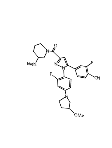 CNC1CCCN(C(=O)c2cc(-c3ccc(C#N)c(F)c3)n(-c3ccc(N4CCC(OC)C4)cc3F)n2)C1